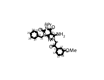 CCCn1c(=O)c2c(N)n(CC(=O)c3cccc(OC)c3)nc2n(Cc2ccccc2)c1=O